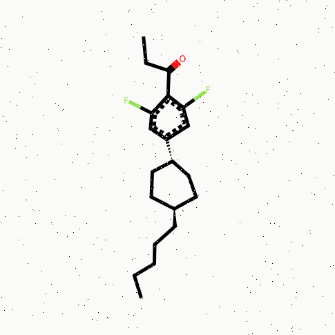 CCCCC[C@H]1CC[C@H](c2cc(F)c(C(=O)CC)c(F)c2)CC1